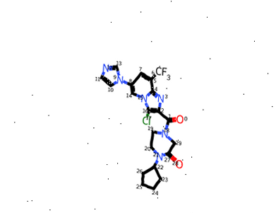 O=C(c1nc2c(C(F)(F)F)cc(-n3ccnc3)cn2c1Cl)N1CCN(C2CCCC2)C(=O)C1